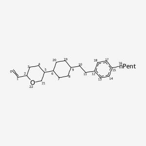 C=CC1CCC(C2CCC(CCc3ccc(CCCCC)cc3)CC2)CO1